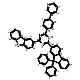 c1ccc(C2(c3ccccc3)c3ccccc3-c3ccc(-c4nc(-c5ccc(-c6cccnc6)cc5)nc(-c5ccc6sc7ccccc7c6c5)n4)cc32)cc1